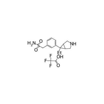 CCC1(c2cccc(CS(N)(=O)=O)c2)C2CNCC21.O=C(O)C(F)(F)F